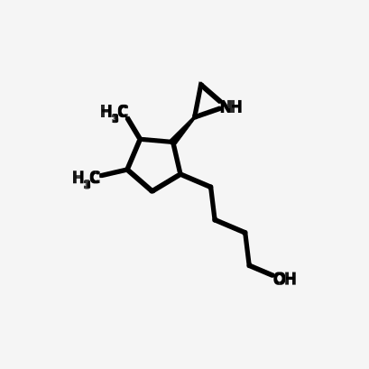 CC1CC(CCCCO)C([C@H]2CN2)C1C